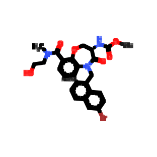 COc1ccc2cc(Br)ccc2c1CN1C(=O)[C@@H](NC(=O)OC(C)(C)C)COc2c(C(=O)N(C)CCO)cccc21